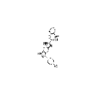 COC1CC=C(c2n[nH]c3cc4[nH]c(C(=O)N[C@H](C)c5ccccc5)nc4cc23)CC1